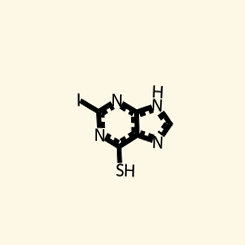 Sc1nc(I)nc2[nH]cnc12